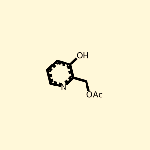 CC(=O)OCc1ncccc1O